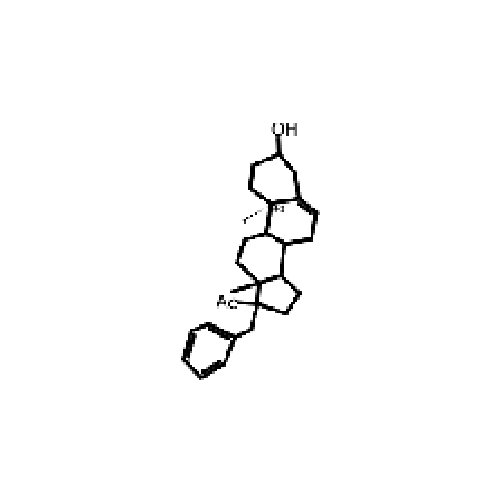 CC(=O)C1(Cc2ccccc2)CCC2C3CC=C4CC(O)CC[C@]4(C)C3CCC21C